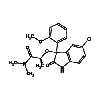 COc1ccccc1C1(O[C@@H](C)C(=O)N(C)C)C(=O)Nc2ccc(Cl)cc21